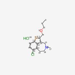 CCCOCc1sc2ccc(Cl)c3c2c1CN(C)CC3.Cl